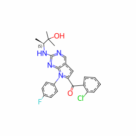 C[C@H](Nc1ncc2cc(C(=O)c3ccccc3Cl)n(-c3ccc(F)cc3)c2n1)C(C)(C)O